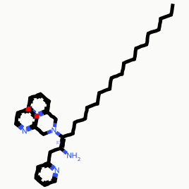 CCCCCCCCCCCCCCCCCC/C(=C(\N)Cc1ccccn1)N(Cc1ccccn1)Cc1ccccn1